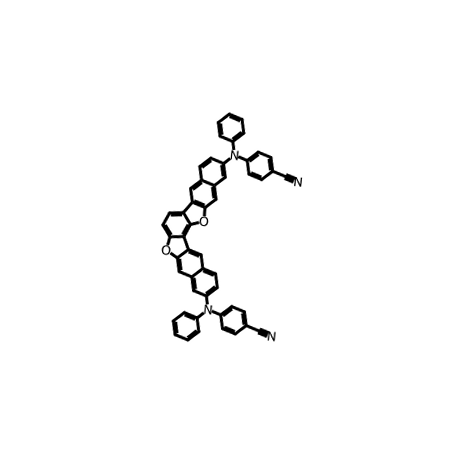 N#Cc1ccc(N(c2ccccc2)c2ccc3cc4c(cc3c2)oc2c4ccc3oc4cc5cc(N(c6ccccc6)c6ccc(C#N)cc6)ccc5cc4c32)cc1